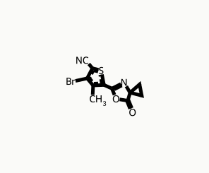 Cc1c(C2=NC3(CC3)C(=O)O2)sc(C#N)c1Br